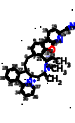 C=C1CC2C(CCc3ccc4c(oc5nc(C#N)ccc54)c3/C(=C/C)N1C)c1ccccc1-c1cccc[n+]12